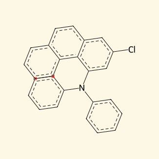 Clc1cc(N(c2ccccc2)c2ccccc2)c2c(ccc3ccccc32)c1